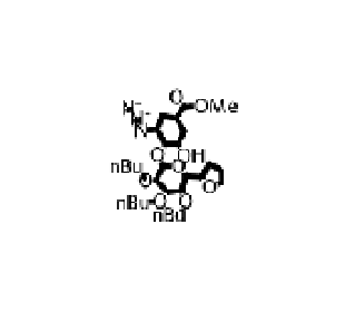 CCCCOC1C(OC2C(O)CC(C(=O)OC)CC2N=[N+]=[N-])OC(C2CCCO2)C(OCCCC)C1OCCCC